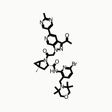 CC(=O)c1nn(CC(=O)N2C3C[C@]3(C)C[C@H]2C(=O)Nc2nc(Br)ccc2CN2C(C)(C)COCC2(C)C)c2cnc(-c3cnc(C)nc3)cc12